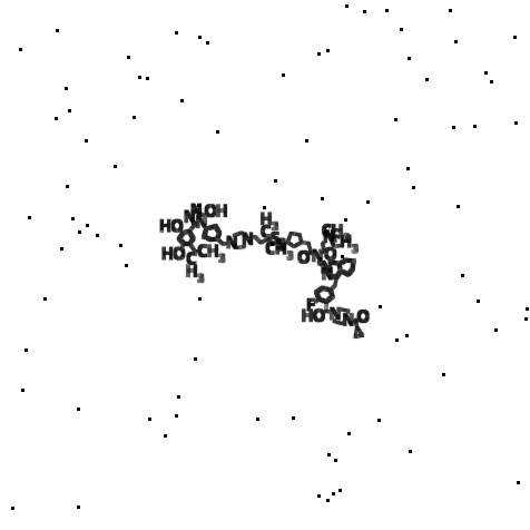 CC(C)c1cc(-c2nnc(O)n2-c2ccc(CN3CCN(CCC(C)(C)SSC4CCC(CC(=O)N(CCN(C)C)Cn5nc(Cc6ccc(F)c(C(O)N7CCN(C(=O)C8CC8)CC7)c6)c6ccccc6c5=O)C4)CC3)cc2)c(O)cc1O